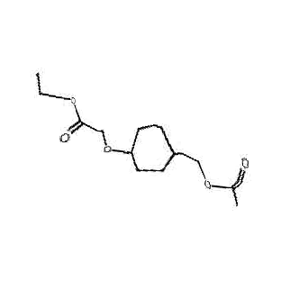 CCOC(=O)COC1CCC(COC(C)=O)CC1